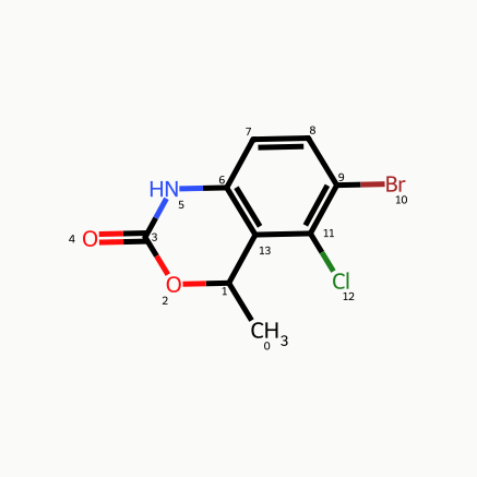 CC1OC(=O)Nc2ccc(Br)c(Cl)c21